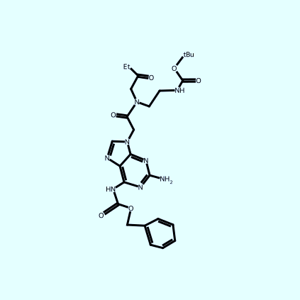 CCC(=O)CN(CCNC(=O)OC(C)(C)C)C(=O)Cn1cnc2c(NC(=O)OCc3ccccc3)nc(N)nc21